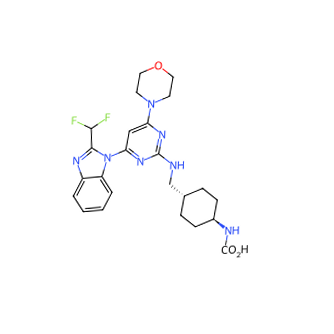 O=C(O)N[C@H]1CC[C@H](CNc2nc(N3CCOCC3)cc(-n3c(C(F)F)nc4ccccc43)n2)CC1